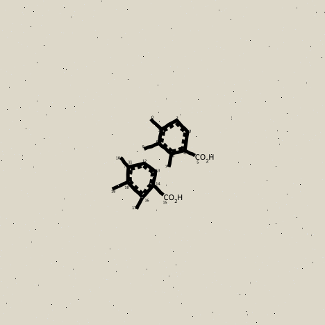 Cc1ccc(C(=O)O)c(C)c1C.Cc1ccc(C(=O)O)c(C)c1C